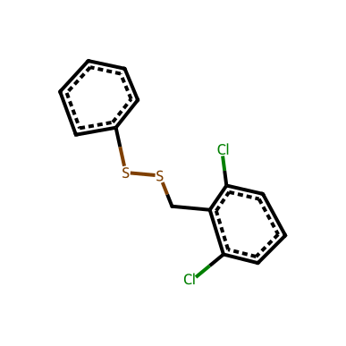 Clc1cccc(Cl)c1CSSc1ccccc1